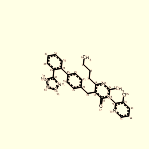 CCCCc1nc(C)n(-c2ncccc2Cl)c(=O)c1Cc1ccc(-c2ccccc2-c2nnn[nH]2)cc1